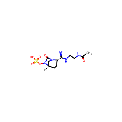 CC(=O)NCCNC(=N)[C@@H]1CC[C@@H]2CN1C(=O)N2OS(=O)(=O)O